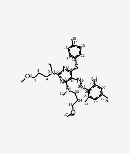 COCCCN(C)c1nc(Sc2ccc(C)cc2)c(N=Nc2c(C)cc(C)cc2Cl)c(N(C)CCCOC)n1